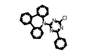 Clc1nc(-c2ccccc2)nc(N2c3ccccc3-c3ccccc3-c3ccccc32)n1